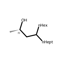 CCCCCCCC(CCCCCC)C[C@H](C)O